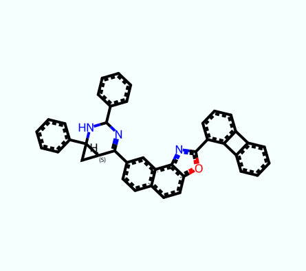 c1ccc(C2N=C(c3ccc4ccc5oc(-c6cccc7c6-c6ccccc6-7)nc5c4c3)[C@H]3CC3(c3ccccc3)N2)cc1